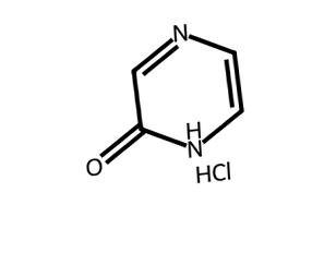 Cl.O=c1cncc[nH]1